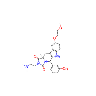 COCCOc1ccc2[nH]c3c(c2c1)CC1(C)C(=O)N(CCN(C)C)C(=O)N1C3c1cccc(O)c1